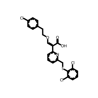 O=C(O)C(=COCCc1ccc(Cl)cc1)c1cccc(CSc2c(Cl)cccc2Cl)n1